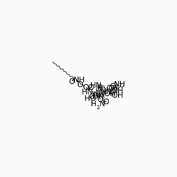 CCCCCCCCCCCCCC(=O)NCCOCCOCC(=O)NCC(=O)N[C@@H](CO)C(=O)NC(CCC(N)=O)C(O)NC(C[C@H]1CNC=N1)C(O)N[C@@H](CO)C(=O)N[C@@H](CCCC)C(=O)NC